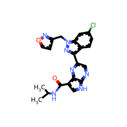 CC(C)NC(=O)c1c[nH]c2ncc(-c3nn(Cc4ccon4)c4cc(Cl)ccc34)nc12